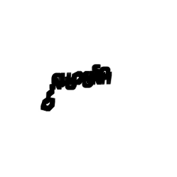 CN(C/C=C/c1ccccc1)CCOc1ccc(CC2SC(=O)NC2=O)cc1